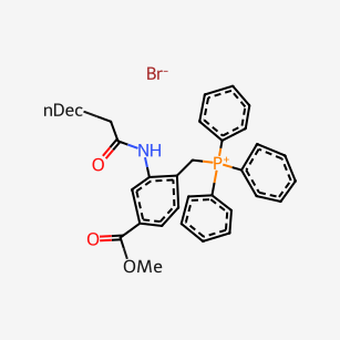 CCCCCCCCCCCC(=O)Nc1cc(C(=O)OC)ccc1C[P+](c1ccccc1)(c1ccccc1)c1ccccc1.[Br-]